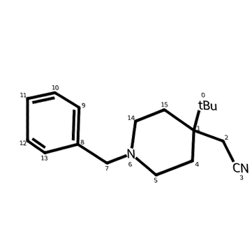 CC(C)(C)C1(CC#N)CCN(Cc2ccccc2)CC1